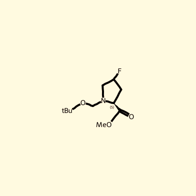 COC(=O)[C@@H]1CC(F)CN1COC(C)(C)C